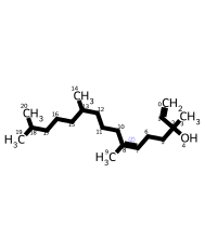 C=CC(C)(O)CC/C=C(/C)CCCC(C)CCCC(C)C